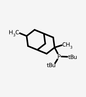 CC1CC2CC(C1)CC(C)(P(C(C)(C)C)C(C)(C)C)C2